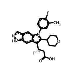 Cc1cc(-n2c(C3CCOCC3)c([C@@H](F)CC(=O)O)c3cc4[nH]ncc4cc32)ccc1F